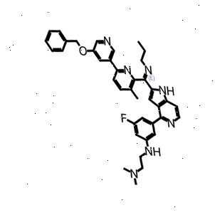 CCC/N=C(/c1cc2c(-c3cc(F)cc(NCCN(C)C)c3)nccc2[nH]1)c1nc(-c2cncc(OCc3ccccc3)c2)ccc1C